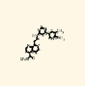 CNC(=O)c1ccnc2c(CCNc3cc(-c4cnc(N)c(C)c4)ncn3)cccc12